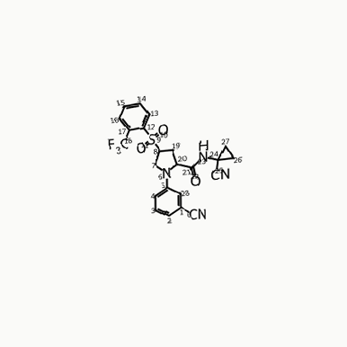 N#Cc1cccc(N2CC(S(=O)(=O)c3ccccc3C(F)(F)F)CC2C(=O)NC2(C#N)CC2)c1